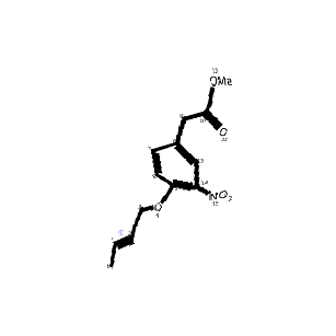 C/C=C/COc1ccc(CC(=O)OC)cc1[N+](=O)[O-]